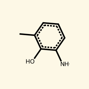 Cc1cccc([NH])c1O